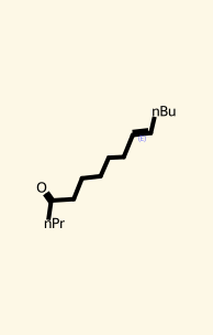 CCCC/C=C/CCCCCC(=O)CCC